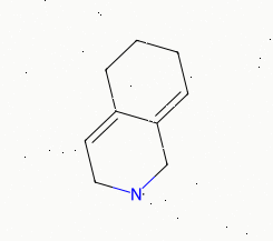 C1=C2CCCC=C2C[N]C1